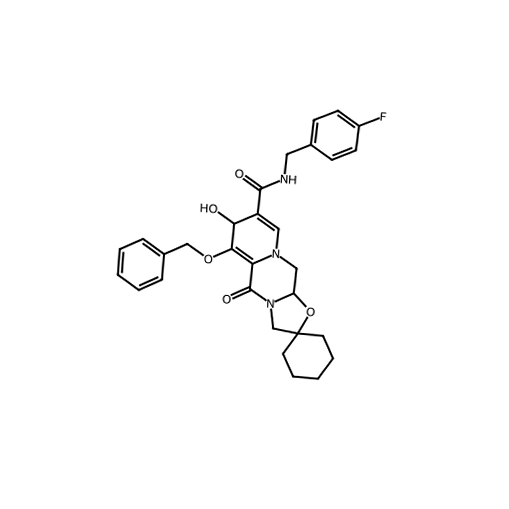 O=C(NCc1ccc(F)cc1)C1=CN2CC3OC4(CCCCC4)CN3C(=O)C2=C(OCc2ccccc2)C1O